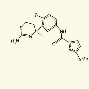 CSc1ccc(C(=O)Nc2ccc(F)c([C@]3(C)CCSC(N)=N3)c2)s1